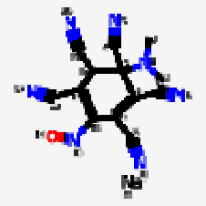 CN(C)C1(C#N)C(C#N)=C(C#N)C(N=O)=C(C#N)C1C#N.[Na]